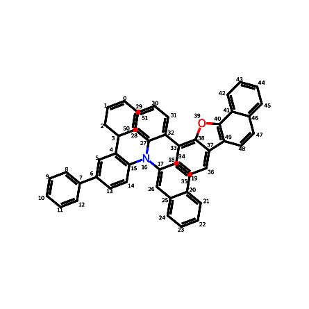 C1=CCC(c2cc(-c3ccccc3)ccc2N(c2ccc3ccccc3c2)c2ccccc2-c2cccc3c2oc2c4ccccc4ccc32)C=C1